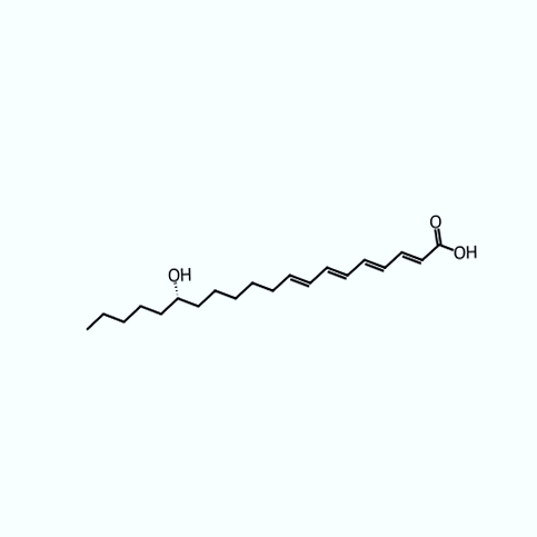 CCCCC[C@H](O)CCCCCC=CC=CC=CC=CC(=O)O